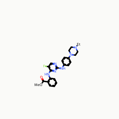 CCN1CCN(c2ccc(Nc3ncc(F)c(Nc4ccccc4C(=O)OC)n3)cc2)CC1